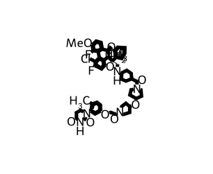 COc1ccc(C(N)=O)c(-c2c(Cl)c(F)cc3c2[C@H](C)[C@@](CNC2CCC(C(=O)N4CCC(OC5CCN(C(=O)COc6ccc(C)c(N7CCC(=O)NC7=O)c6)CC5)CC4)CC2)(c2ccccc2)O3)c1F